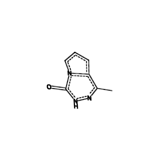 Cc1n[nH]c(=O)n2cccc12